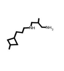 CC(CN)CNCCCC1CC(C)C1